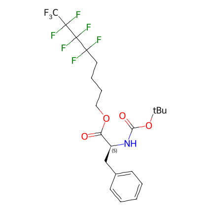 CC(C)(C)OC(=O)N[C@@H](Cc1ccccc1)C(=O)OCCCCC(F)(F)C(F)(F)C(F)(F)C(F)(F)F